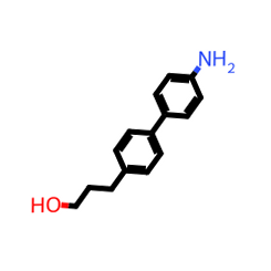 Nc1ccc(-c2ccc(CCCO)cc2)cc1